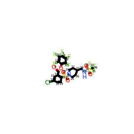 O=C(Oc1c(F)c(F)c(F)c(F)c1F)c1cc(Cl)ccc1S(=O)(=O)N1CCC(CNS(=O)(=O)C(F)(F)F)CC1